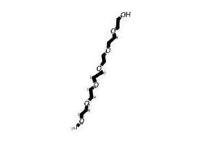 OCCOCCOCCOCCOCCOCCOI